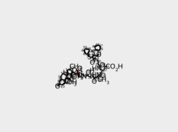 CCC(=O)O[C@]1(C(=O)COCNC(=O)CNC(=O)[C@H](C)NC(=O)[C@H](CCC(=O)O)NC(=O)CCN2C(=O)C(Sc3ccccc3)=C(Sc3ccccc3)C2=O)[C@@H](C)CC2[C@@H]3CCC4=CC(=O)C=C[C@]4(C)[C@@]3(Cl)[C@@H](O)C[C@@]21C